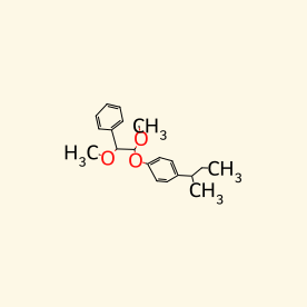 CCC(C)c1ccc(OC(OC)C(OC)c2ccccc2)cc1